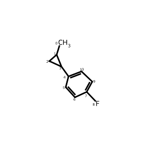 CC1CC1c1ccc(F)cc1